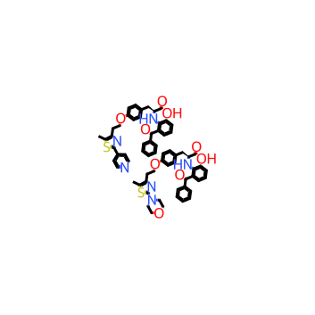 Cc1sc(-c2ccncc2)nc1CCOc1ccc(C[C@H](Nc2ccccc2C(=O)c2ccccc2)C(=O)O)cc1.Cc1sc(N2CCOCC2)nc1CCOc1ccc(C[C@H](Nc2ccccc2C(=O)c2ccccc2)C(=O)O)cc1